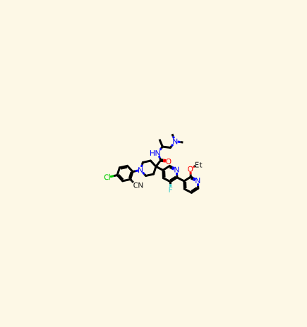 CCOc1ncccc1-c1ncc(C2(C(=O)NC(C)CN(C)C)CCN(c3ccc(Cl)cc3C#N)CC2)cc1F